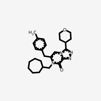 Cc1ccc(Cc2cn3c(C4CCOCC4)nnc3c(=O)n2CC2CCCCCC2)cc1